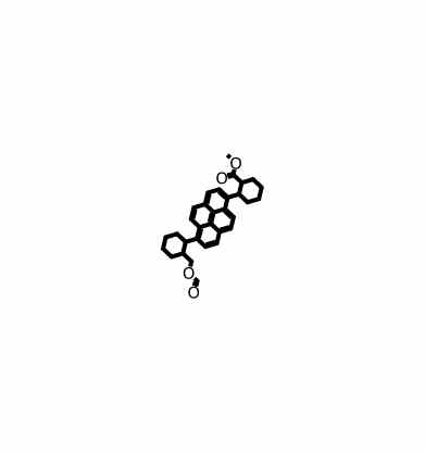 COC(=O)C1CCCCC1c1ccc2ccc3c(C4CCCCC4COC=O)ccc4ccc1c2c43